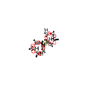 C[SiH]1O[SiH](C)O[SiH](C)O[Si](C)(S[Si]2(C)O[SiH](C)O[SiH](C)O[SiH](C)O[SiH](C)O2)O[SiH](C)O1